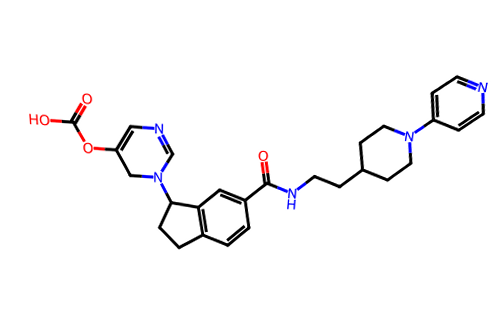 O=C(O)OC1=CN=CN(C2CCc3ccc(C(=O)NCCC4CCN(c5ccncc5)CC4)cc32)C1